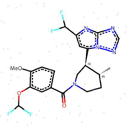 COc1ccc(C(=O)N2CC[C@@H](C)[C@H](c3cc(C(F)F)nc4ncnn34)C2)cc1OC(F)F